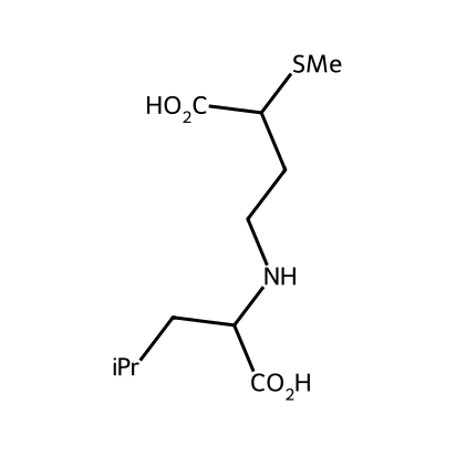 CSC(CCNC(CC(C)C)C(=O)O)C(=O)O